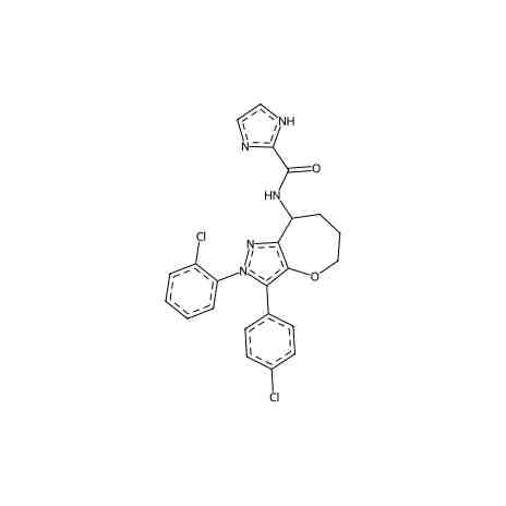 O=C(NC1CCCOc2c1nn(-c1ccccc1Cl)c2-c1ccc(Cl)cc1)c1ncc[nH]1